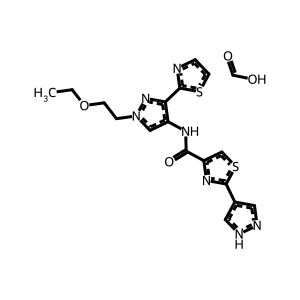 CCOCCn1cc(NC(=O)c2csc(-c3cn[nH]c3)n2)c(-c2nccs2)n1.O=CO